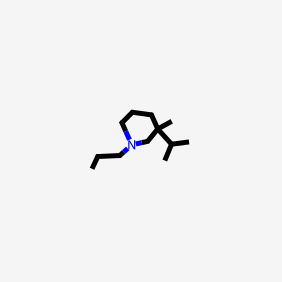 CCCN1CCCC(C)(C(C)C)C1